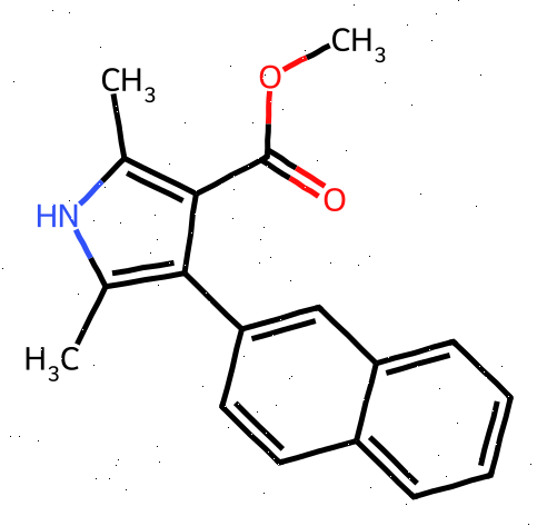 COC(=O)c1c(C)[nH]c(C)c1-c1ccc2ccccc2c1